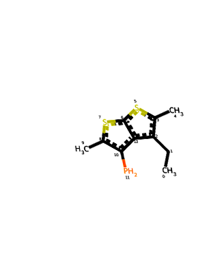 CCc1c(C)sc2sc(C)c(P)c12